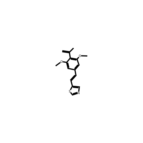 C=C(C)c1c(OC)cc(C=Cc2cncs2)cc1OC